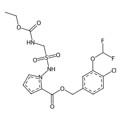 CCOC(=O)NCS(=O)(=O)Nn1cccc1C(=O)OCc1ccc(Cl)c(OC(F)F)c1